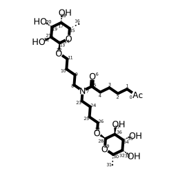 CC(=O)CCCCC(=O)N(CCCCO[C@@H]1O[C@@H](C)[C@@H](O)[C@@H](O)[C@@H]1O)CCCCO[C@@H]1O[C@@H](C)[C@@H](O)[C@@H](O)[C@@H]1O